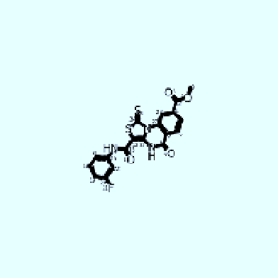 COC(=O)c1ccc2c(=O)[nH]c3c(C(=O)Nc4cccc(F)c4)sc(=S)n3c2c1